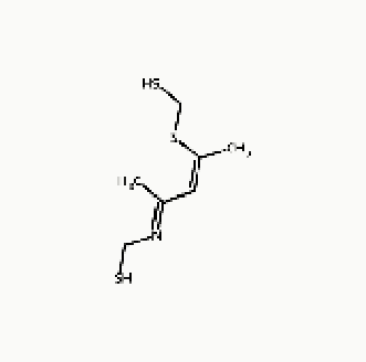 C/C(=C/C(C)=N/CS)SCS